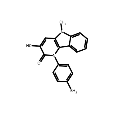 Bc1ccc(-n2c(=O)c(C#N)cc3c2c2ccccc2n3C)cc1